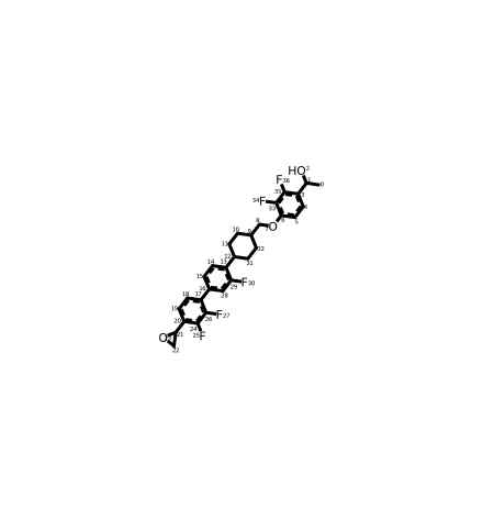 CC(O)c1ccc(OCC2CCC(c3ccc(-c4ccc(C5CO5)c(F)c4F)cc3F)CC2)c(F)c1F